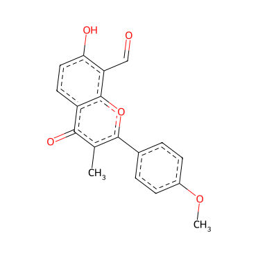 COc1ccc(-c2oc3c(C=O)c(O)ccc3c(=O)c2C)cc1